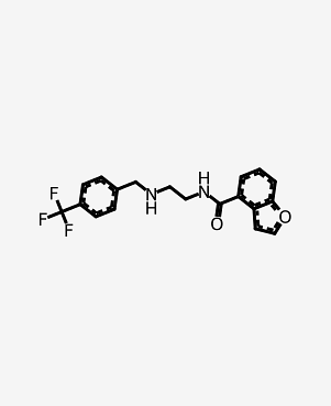 O=C(NCCNCc1ccc(C(F)(F)F)cc1)c1cccc2occc12